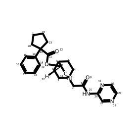 O=C(C[N+]12CCC(CC1)[C@@H](OC(=O)C1(c3ccccc3)CCCC1)C2)Nc1cnccn1